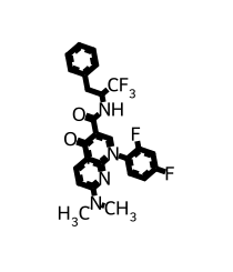 CN(C)c1ccc2c(=O)c(C(=O)NC(Cc3ccccc3)C(F)(F)F)cn(-c3ccc(F)cc3F)c2n1